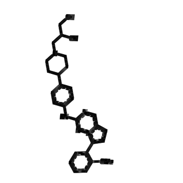 COc1ccccc1-c1ccc2cnc(Nc3ccc(C4CCN(CC(O)CO)CC4)cc3)nn12